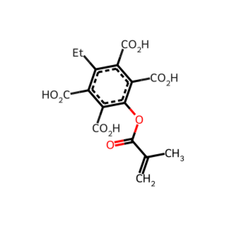 C=C(C)C(=O)Oc1c(C(=O)O)c(C(=O)O)c(CC)c(C(=O)O)c1C(=O)O